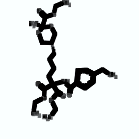 CCOC(=O)C(CCCC[C@H]1CO[C@@](C)(C(=O)OCC)OC1)(NC(=O)c1ccc(CC)cc1)C(=O)OCC